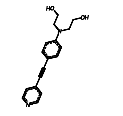 OCCN(CCO)c1ccc(C#Cc2ccncc2)cc1